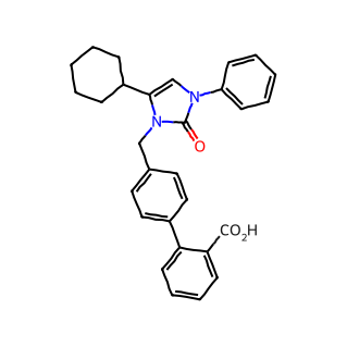 O=C(O)c1ccccc1-c1ccc(Cn2c(C3CCCCC3)cn(-c3ccccc3)c2=O)cc1